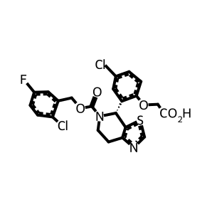 O=C(O)COc1ccc(Cl)cc1[C@@H]1c2scnc2CCN1C(=O)OCc1cc(F)ccc1Cl